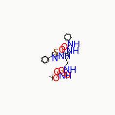 CC(C)(C)OC(=O)NS(=O)(=O)NCCCC[C@H](NC(=O)Nc1ccccc1)C(=O)Nc1nc(-c2ccccc2)cs1